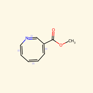 COC(=O)C1=C/C=C\C=C/N=C\1